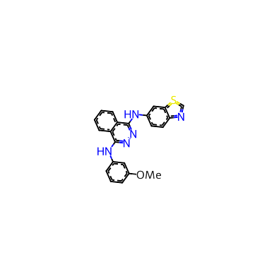 COc1cccc(Nc2nnc(Nc3ccc4ncsc4c3)c3ccccc23)c1